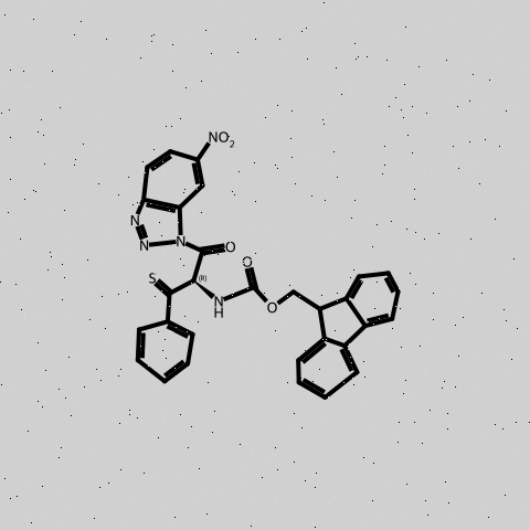 O=C(N[C@H](C(=O)n1nnc2ccc([N+](=O)[O-])cc21)C(=S)c1ccccc1)OCC1c2ccccc2-c2ccccc21